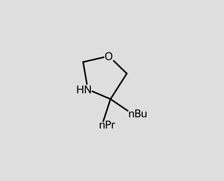 CCCCC1(CCC)COCN1